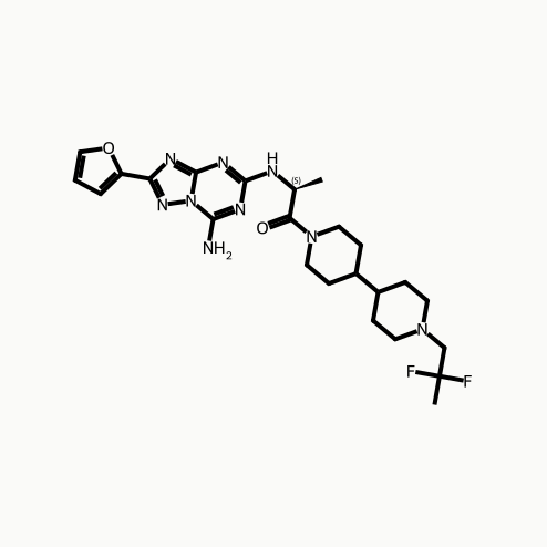 C[C@H](Nc1nc(N)n2nc(-c3ccco3)nc2n1)C(=O)N1CCC(C2CCN(CC(C)(F)F)CC2)CC1